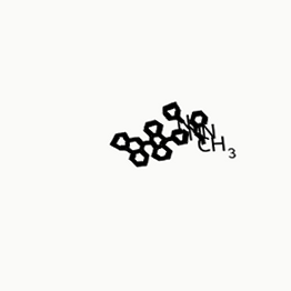 Cc1nc2cccc3c2n1-c1ccc(-c2c4ccccc4c(-c4cc5ccccc5c5ccccc45)c4ccccc24)cc1N3c1ccccc1